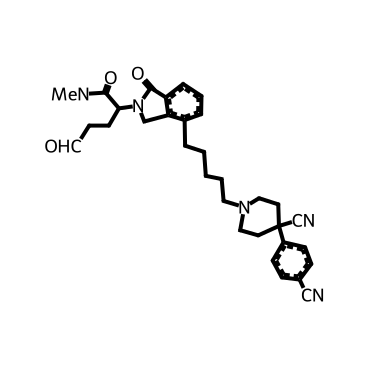 CNC(=O)C(CCC=O)N1Cc2c(CCCCCN3CCC(C#N)(c4ccc(C#N)cc4)CC3)cccc2C1=O